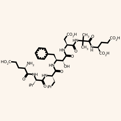 CC(C)C[C@H](NC(=O)[C@@H](NC(=O)[C@@H](N)CCC(=O)O)C(C)C)C(=O)N[C@@H](Cc1ccccc1)[C@@H](O)C(=O)N[C@@H](CC(=O)O)C(=O)NC(C)(C)C(=O)N[C@@H](CCC(=O)O)C(=O)O